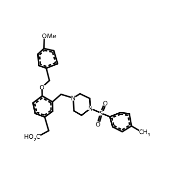 COc1ccc(COc2ccc(CC(=O)O)cc2CN2CCN(S(=O)(=O)c3ccc(C)cc3)CC2)cc1